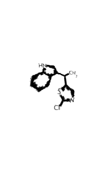 CC(c1cnc(Cl)s1)c1c[nH]c2ccccc12